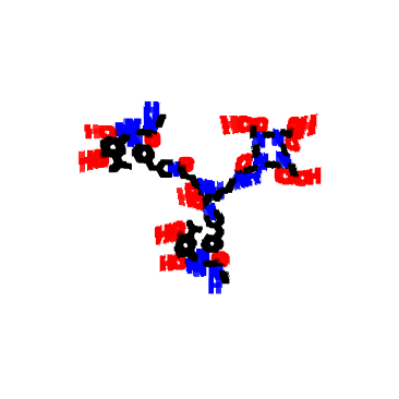 CCNC(=O)c1nnc(-c2cc(C(C)C)c(O)cc2O)n1-c1ccc(CC2CCN(C(=O)CCC(=O)N[C@@H](CCCCNC(=O)CN3CCN(CC(=O)O)CCN(CC(=O)O)CCN(CC(=O)O)CC3)C(O)N3CCC(Cc4ccc(-n5c(C(=O)NCC)nnc5-c5cc(C(C)C)c(O)cc5O)cc4)CC3)CC2)cc1